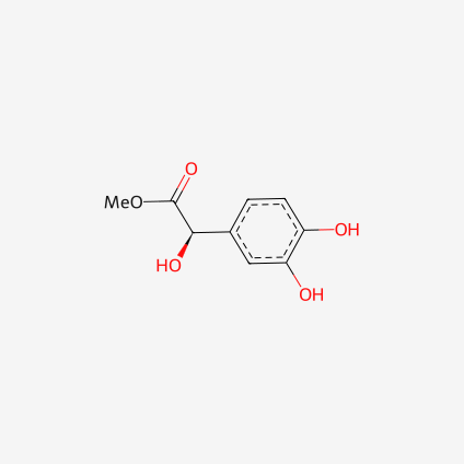 COC(=O)[C@H](O)c1ccc(O)c(O)c1